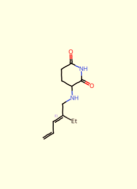 C=C/C=C(\CC)CNC1CCC(=O)NC1=O